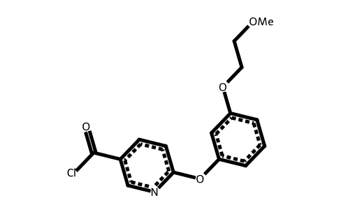 COCCOc1cccc(Oc2ccc(C(=O)Cl)cn2)c1